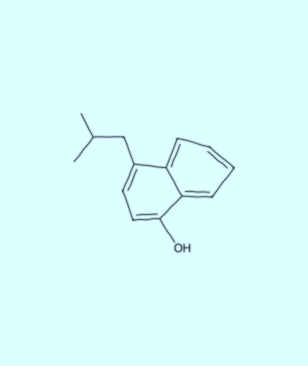 CC(C)Cc1ccc(O)c2ccccc12